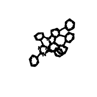 c1ccc(-c2nc(-c3ccccc3)nc(-c3ccccc3-n3c4ccc(-c5ccccc5)c5c4c4c6c(cccc6ccc43)-c3ccccc3-5)n2)cc1